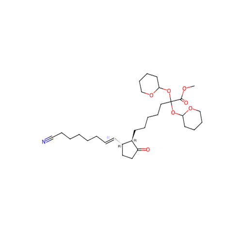 COC(=O)C(CCCCC[C@H]1C(=O)CC[C@@H]1/C=C/CCCCCC#N)(OC1CCCCO1)OC1CCCCO1